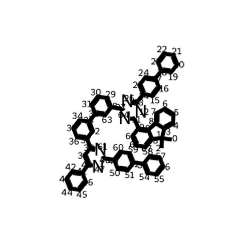 CC1(C)c2ccccc2-c2c(-c3nc(-c4ccc(-c5ccccc5)cc4)nc(-c4cccc(-c5cccc(-c6cc(-c7ccccc7)nc(-c7ccc(-c8ccccc8)cc7)n6)c5)c4)n3)cccc21